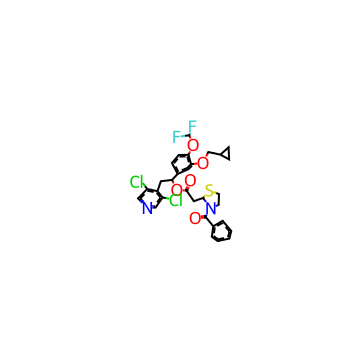 O=C(CC1SCCN1C(=O)c1ccccc1)OC(Cc1c(Cl)cncc1Cl)c1ccc(OC(F)F)c(OCC2CC2)c1